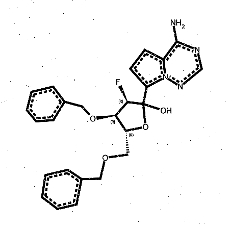 Nc1ncnn2c(C3(O)O[C@H](COCc4ccccc4)[C@@H](OCc4ccccc4)[C@H]3F)ccc12